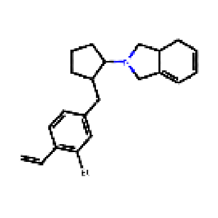 C=Cc1ccc(CC2CCCC2N2CC3=CC=CCC3C2)cc1CC